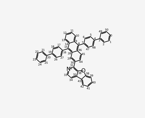 c1ccc(-c2ccc(-c3c4ccccc4c(-c4ccc(-c5ccccc5)cc4)c4cc(-c5nccc6c5oc5ccccc56)ccc34)cc2)cc1